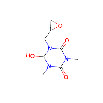 CN1C(=O)N(C)C(O)N(CC2CO2)C1=O